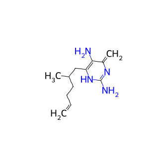 C=CCCC(C)CC1=C(N)C(=C)N=C(N)N1